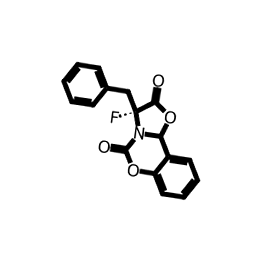 O=C1Oc2ccccc2C2OC(=O)[C@](F)(Cc3ccccc3)N12